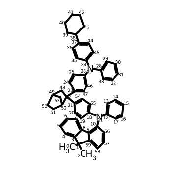 CC1(C)c2ccccc2-c2c(N(c3ccccc3)c3ccc(C4(c5ccc(N(c6ccccc6)c6ccc(C7CCCCC7)cc6)cc5)CC5CCC4C5)cc3)cccc21